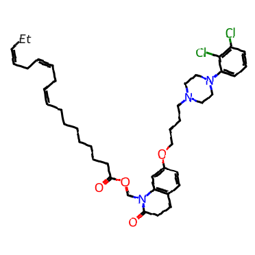 CC/C=C\C/C=C\C/C=C\CCCCCCCC(=O)OCN1C(=O)CCc2ccc(OCCCCN3CCN(c4cccc(Cl)c4Cl)CC3)cc21